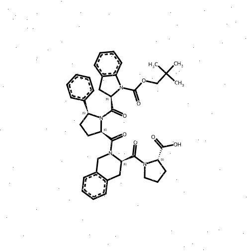 CC(C)(C)COC(=O)N1c2ccccc2C[C@@H]1C(=O)N1[C@@H](C(=O)N2Cc3ccccc3C[C@@H]2C(=O)N2CCC[C@H]2C(=O)O)CC[C@H]1c1ccccc1